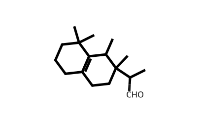 CC(C=O)C1(C)CCC2=C(C1C)C(C)(C)CCC2